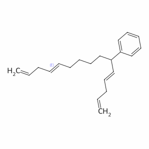 C=CCC=CC(CCCC/C=C/CC=C)c1ccccc1